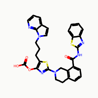 O=C(O)Oc1nc(N2CCc3cccc(C(=O)Nc4nc5ccccc5s4)c3C2)sc1CCCn1ccc2cccnc21